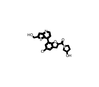 O=C(C1Cc2cc(Cl)cc(-c3ccnc4cc(CO)sc34)c2O1)N1CCC(O)C1